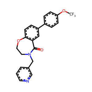 O=C1c2cc(-c3ccc(OC(F)(F)F)cc3)ccc2OCCN1Cc1cccnc1